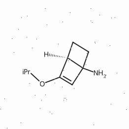 CC(C)OC1=CC2(N)CC[C@H]12